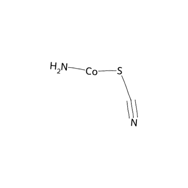 N#C[S][Co][NH2]